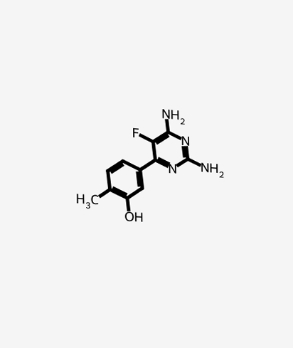 Cc1ccc(-c2nc(N)nc(N)c2F)cc1O